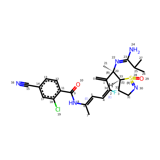 C=C(/C(F)=C\C=C(/C)NC(=O)c1ccc(C#N)cc1Cl)[C@@]1(C)N=C(N)C(C)(C)[S@@]2(=O)=NCC[C@@H]12